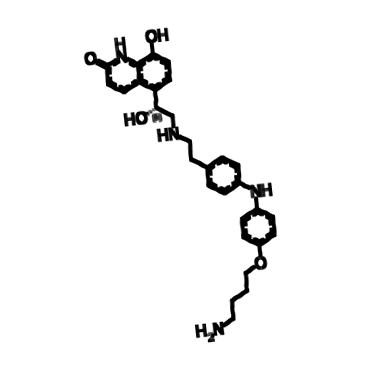 NCCCCOc1ccc(Nc2ccc(CCNC[C@H](O)c3ccc(O)c4[nH]c(=O)ccc34)cc2)cc1